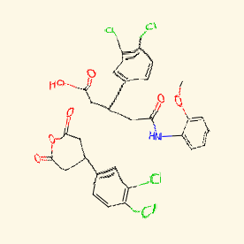 COc1ccccc1NC(=O)CC(CC(=O)O)c1ccc(Cl)c(Cl)c1.O=C1CC(c2ccc(Cl)c(Cl)c2)CC(=O)O1